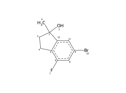 CC1(O)CCc2c(F)cc(Br)cc21